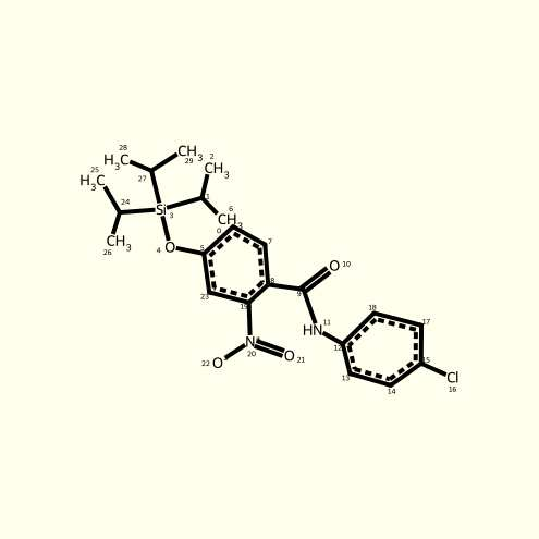 CC(C)[Si](Oc1ccc(C(=O)Nc2ccc(Cl)cc2)c([N+](=O)[O-])c1)(C(C)C)C(C)C